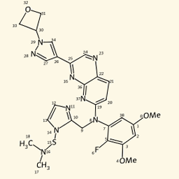 COc1cc(OC)c(F)c(N(Cc2nccn2SN(C)C)c2ccc3ncc(-c4cnn(C5COC5)c4)nc3n2)c1